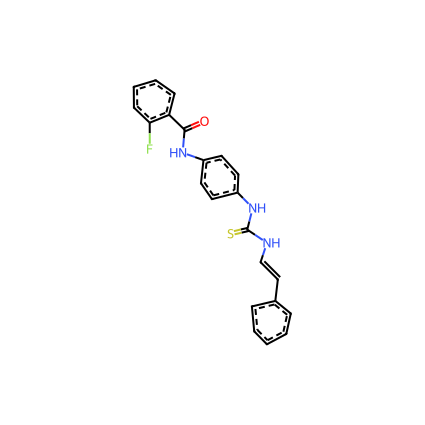 O=C(Nc1ccc(NC(=S)NC=Cc2ccccc2)cc1)c1ccccc1F